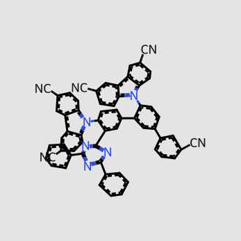 N#Cc1cccc(-c2ccc(-n3c4ccc(C#N)cc4c4cc(C#N)ccc43)c(-c3ccc(-n4c5ccc(C#N)cc5c5cc(C#N)ccc54)c(-c4nc(-c5ccccc5)nc(-c5ccccc5)n4)c3)c2)c1